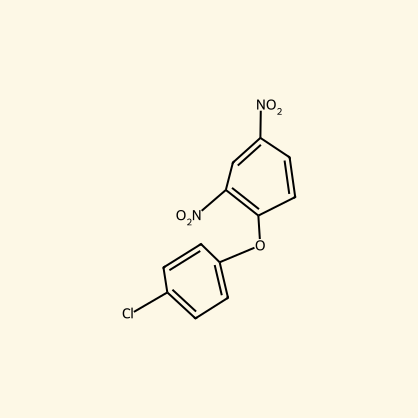 O=[N+]([O-])c1ccc(Oc2ccc(Cl)cc2)c([N+](=O)[O-])c1